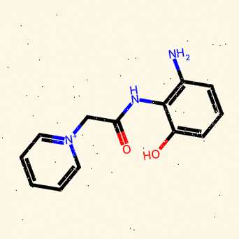 Nc1cccc(O)c1NC(=O)C[n+]1ccccc1